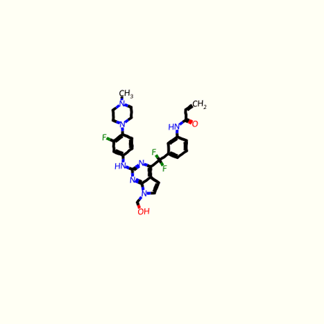 C=CC(=O)Nc1cccc(C(F)(F)c2nc(Nc3ccc(N4CCN(C)CC4)c(F)c3)nc3c2ccn3CO)c1